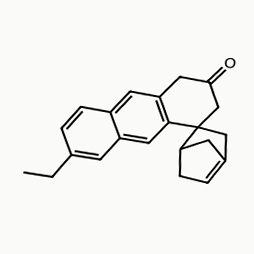 CCc1ccc2cc3c(cc2c1)C1(CC(=O)C3)CC2=CCC1C2